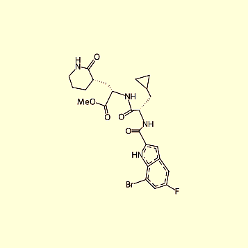 COC(=O)[C@H](C[C@@H]1CCCNC1=O)NC(=O)[C@H](CC1CC1)NC(=O)c1cc2cc(F)cc(Br)c2[nH]1